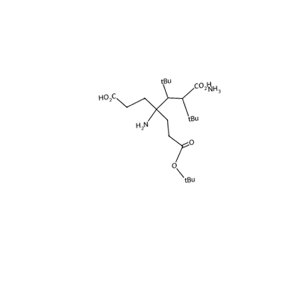 CC(C)(C)OC(=O)CCC(N)(CCC(=O)O)C(C(C(=O)O)C(C)(C)C)C(C)(C)C.N